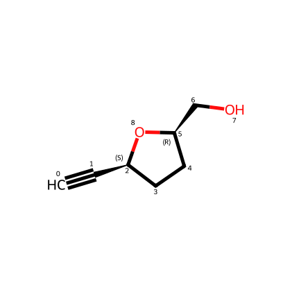 C#C[C@@H]1CC[C@H](CO)O1